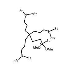 CCCN(CC)CCCC(CCCN(CC)CCC)(CCCN(CC)CCC)CC[Si](CC)(OC)OC